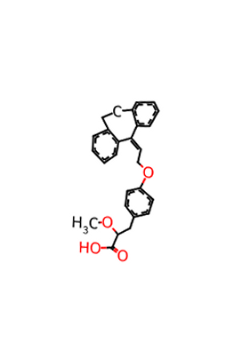 COC(Cc1ccc(OCC=C2c3ccccc3CCc3ccccc32)cc1)C(=O)O